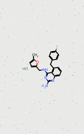 Cc1ccc(CNc2nc(N)nc3cccc(Cc4ccc(F)cc4)c23)o1.Cl